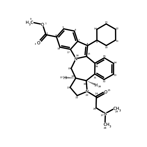 COC(=O)c1ccc2c(C3CCCCC3)c3n(c2c1)C[C@@H]1CCN(C(=O)CN(C)C)[C@@H]1c1ccccc1-3